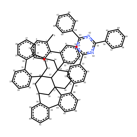 Cc1ccccc1-c1ccccc1C12CCCC34CC(CC5(CC(C1)c1ccccc1-c1ccccc15)C23)c1ccccc1-c1cccc(-c2ccc(-c3nc(-c5ccccc5)nc(-c5ccccc5)n3)cc2)c14